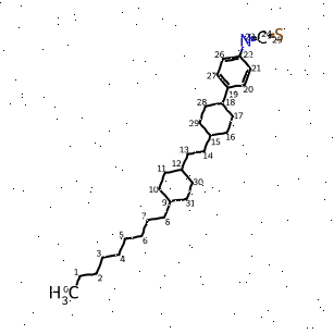 CCCCCCCCCC1CCC(CCC2CCC(c3ccc(N=C=S)cc3)CC2)CC1